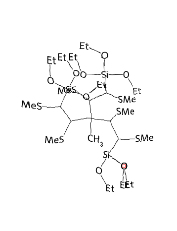 CCO[Si](OCC)(OCC)C(SC)C(SC)C(C)(C(SC)C(SC)[Si](OCC)(OCC)OCC)C(SC)C(SC)[Si](OCC)(OCC)OCC